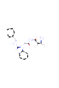 Cc1noc(NC(=O)Cn2c(NCc3ccccc3)nc3ccccc32)c1C